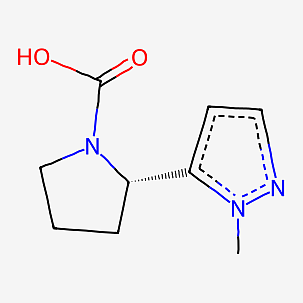 Cn1nccc1[C@@H]1CCCN1C(=O)O